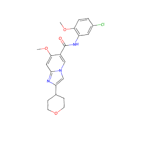 COc1ccc(Cl)cc1NC(=O)c1cn2cc(C3CCOCC3)nc2cc1OC